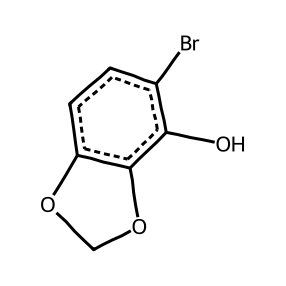 Oc1c(Br)ccc2c1OCO2